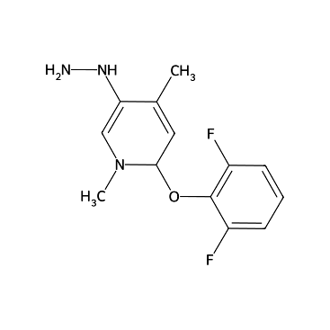 CC1=CC(Oc2c(F)cccc2F)N(C)C=C1NN